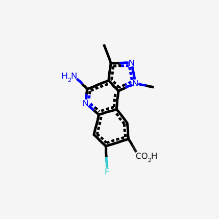 Cc1nn(C)c2c1c(N)nc1cc(F)c(C(=O)O)cc12